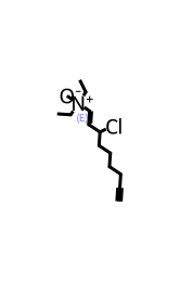 C#CCCCCC(Cl)/C=C/[N+]([O-])(CC)CC